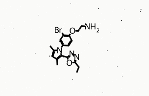 CCc1nnc(-c2c(C)[c]c(C)n2-c2ccc(OCCN)c(Br)c2)o1